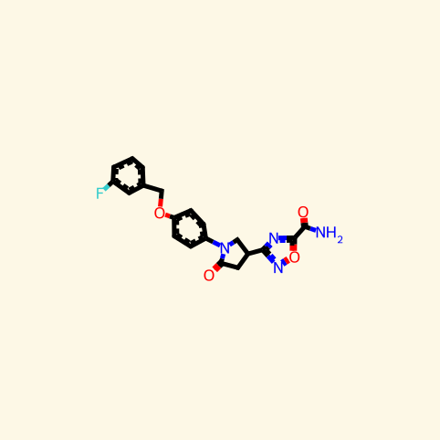 NC(=O)c1nc(C2CC(=O)N(c3ccc(OCc4cccc(F)c4)cc3)C2)no1